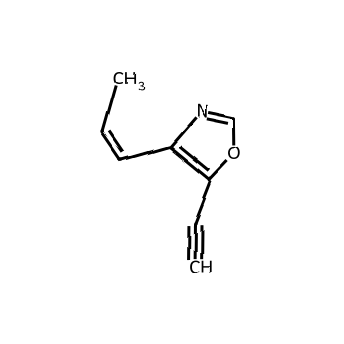 C#Cc1ocnc1/C=C\C